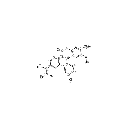 CCC(C)Oc1cc2c(cc1OC)CC(=O)N(c1ccc([C@H](C)N(CC)C(C)=O)cc1)[C@H]2c1ccc(Cl)cc1